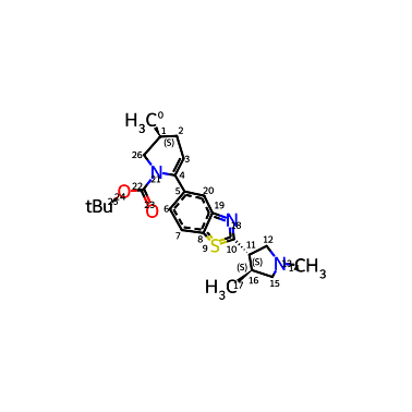 C[C@H]1CC=C(c2ccc3sc([C@@H]4CN(C)C[C@H]4C)nc3c2)N(C(=O)OC(C)(C)C)C1